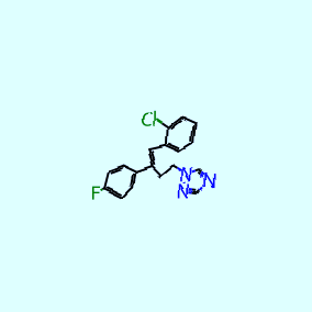 Fc1ccc(C(=Cc2ccccc2Cl)CCn2cncn2)cc1